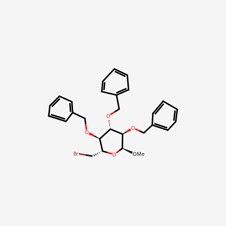 CO[C@H]1O[C@H](CBr)[C@@H](OCc2ccccc2)[C@H](OCc2ccccc2)[C@H]1OCc1ccccc1